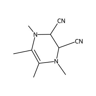 CC1=C(C)N(C)C(C#N)C(C#N)N1C